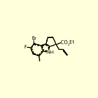 C=CCC1(C(=O)OCC)CCc2c1[nH]c1c(C)cc(F)c(Br)c21